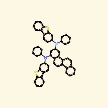 c1ccc(N(c2ccc3c(c2)sc2ccccc23)c2cc(N(c3ccccc3)c3ccc4c(c3)sc3ccccc34)c3ccc4c5ccccc5ccc4c3c2)cc1